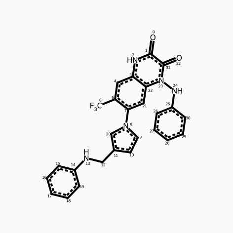 O=c1[nH]c2cc(C(F)(F)F)c(-n3ccc(CNc4ccccc4)c3)cc2n(Nc2ccccc2)c1=O